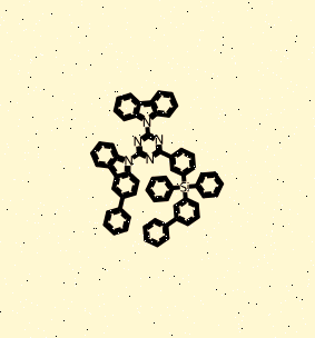 c1ccc(-c2cccc([Si](c3ccccc3)(c3ccccc3)c3cccc(-c4nc(-n5c6ccccc6c6ccccc65)nc(-n5c6ccccc6c6cc(-c7ccccc7)ccc65)n4)c3)c2)cc1